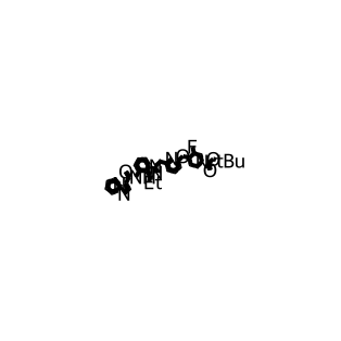 CCc1nn(Cc2cccc(OC3CCN(C(=O)OC(C)(C)C)CC3F)n2)c2cccc(NC(=O)c3cnc4ccccn34)c12